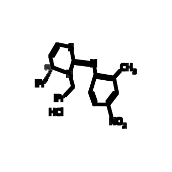 Cc1cc([N+](=O)[O-])ccc1N=C1SC=C[C@@H](C(C)C)N1CC(C)C.Cl